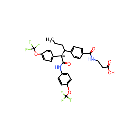 CCCC(c1ccc(C(=O)NCCC(=O)O)cc1)[C@@H](C(=O)Nc1ccc(OC(F)(F)F)cc1)c1ccc(OC(F)(F)F)cc1